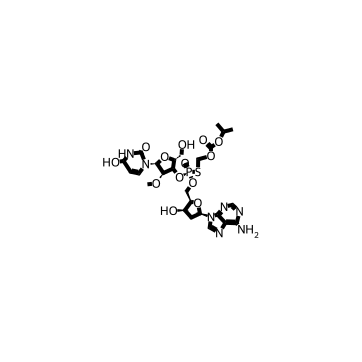 CO[C@H]1C(O[P@](=O)(OC[C@H]2O[C@@H](n3cnc4c(N)ncnc43)C[C@H]2O)SCOC(=O)OC(C)C)[C@@H](CO)O[C@H]1N1C=CC(O)NC1=O